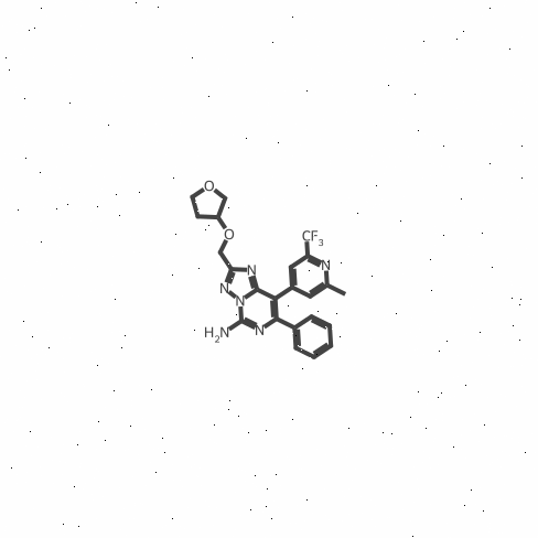 Cc1cc(-c2c(-c3ccccc3)nc(N)n3nc(COC4CCOC4)nc23)cc(C(F)(F)F)n1